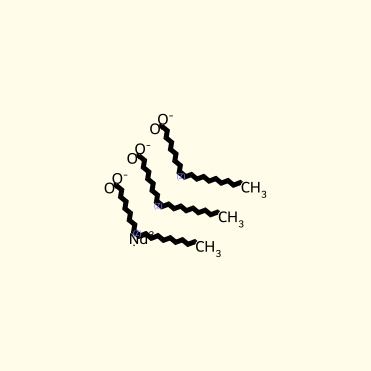 CCCCCCCCCC/C=C\CCCCCCCC(=O)[O-].CCCCCCCCCC/C=C\CCCCCCCC(=O)[O-].CCCCCCCCCC/C=C\CCCCCCCC(=O)[O-].[Nd+3]